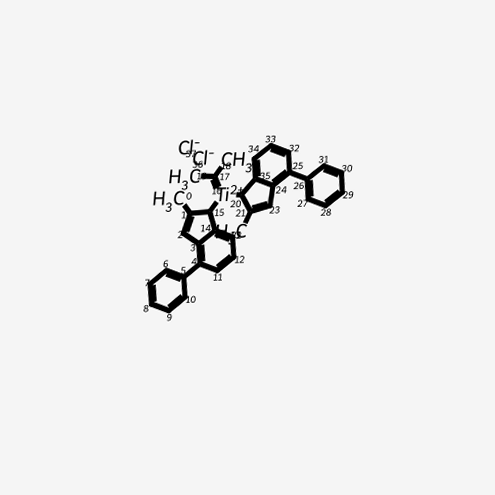 CC1=Cc2c(-c3ccccc3)cccc2[CH]1[Ti+2](=[C](C)C)[CH]1C(C)=Cc2c(-c3ccccc3)cccc21.[Cl-].[Cl-]